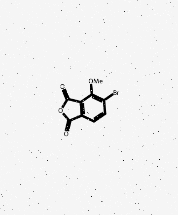 COc1c(Br)ccc2c1C(=O)OC2=O